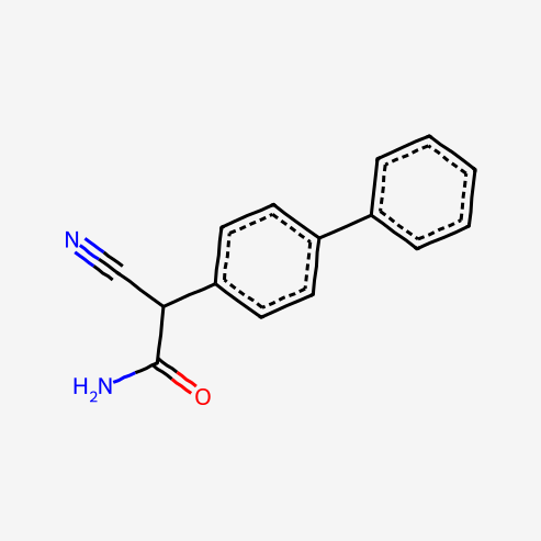 N#CC(C(N)=O)c1ccc(-c2ccccc2)cc1